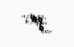 COc1ccc(C(=O)Nc2ccc(C)c(-c3cc4cnc(C)cc4n(C)c3=O)c2)cc1